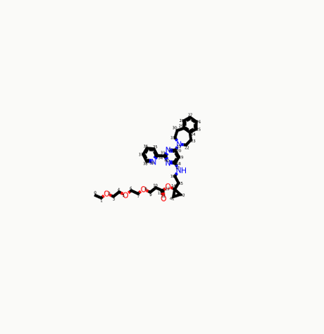 CCOCCOCCOCCC(=O)OC1(CCNc2cc(N3CCc4ccccc4CC3)nc(-c3ccccn3)n2)CC1